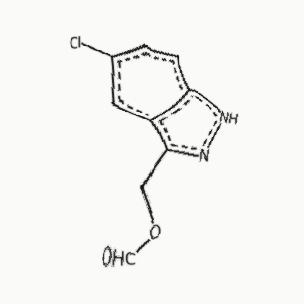 O=COCc1n[nH]c2ccc(Cl)cc12